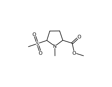 COC(=O)C1CCC(S(C)(=O)=O)N1C